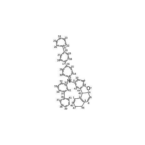 C1=CC2=C(C=CC3Oc4ccc(N(c5ccc(-c6ccc(-c7ccccc7)cc6)cc5)c5cccc(-c6ccccc6)c5)cc4C23)CC1